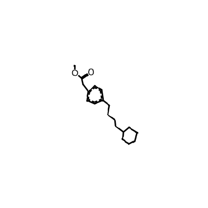 COC(=O)Cc1ccc(CCCCC2CCCCC2)cc1